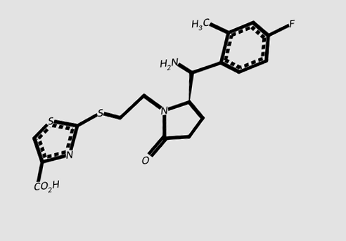 Cc1cc(F)ccc1C(N)[C@H]1CCC(=O)N1CCSc1nc(C(=O)O)cs1